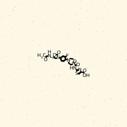 CC(=O)NC[C@H]1CN(c2ccc(N3CCON(C(=O)Nc4nc(C(=O)O)cs4)CC3)c(F)c2)C(=O)O1